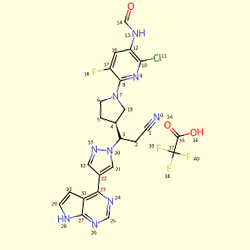 N#CCC([C@H]1CCN(c2nc(Cl)c(NC=O)cc2F)C1)n1cc(-c2ncnc3[nH]ccc23)cn1.O=C(O)C(F)(F)F